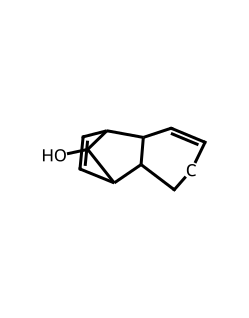 OC1C2C=CC1C1CCC=CC21